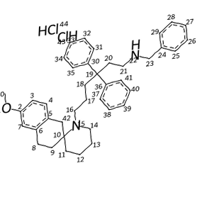 COc1ccc2c(c1)CCC1(CCCCN1CCCC(CCNCc1ccccc1)(c1ccccc1)c1ccccc1)C2.Cl.Cl